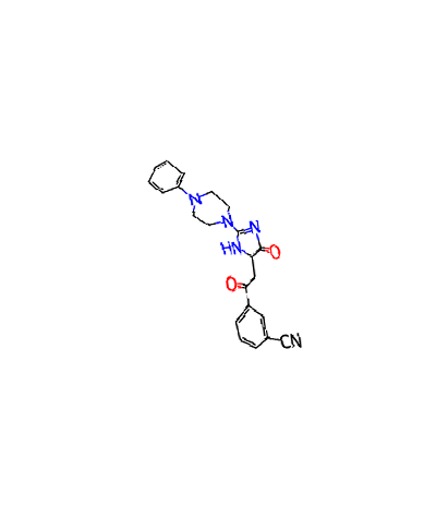 N#Cc1cccc(C(=O)CC2NC(N3CCN(c4ccccc4)CC3)=NC2=O)c1